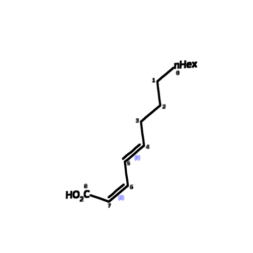 CCCCCCCCC/C=C/C=C\C(=O)O